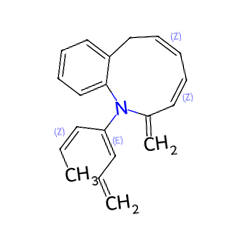 C=C/C=C(\C=C/C)N1C(=C)/C=C\C=C/Cc2ccccc21